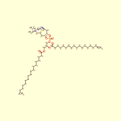 CCCCCCCCCCCCCCCCCC(=O)OCC(COP(=O)(OCCC#N)OCCCC[N+](C)(C)C)OC(=O)CCCCCCCCCCCCCCCCC